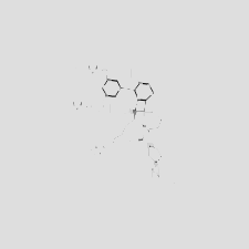 COCCCC[C@@]1(O)c2c(ccc(F)c2-c2cc(OC)cc(OC)c2)C12CN(C(=O)[C@@H]1CC[C@H](N)C1)CCO2